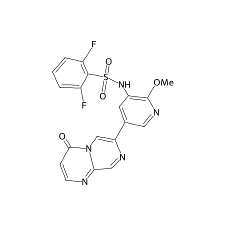 COc1ncc(-c2cn3c(=O)ccnc3cn2)cc1NS(=O)(=O)c1c(F)cccc1F